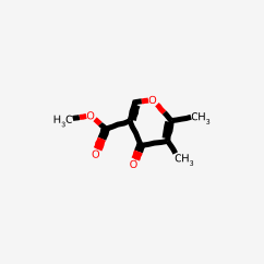 COC(=O)c1coc(C)c(C)c1=O